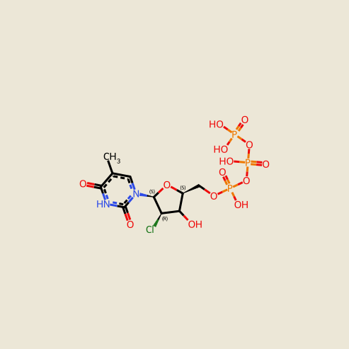 Cc1cn([C@H]2O[C@@H](COP(=O)(O)OP(=O)(O)OP(=O)(O)O)C(O)[C@H]2Cl)c(=O)[nH]c1=O